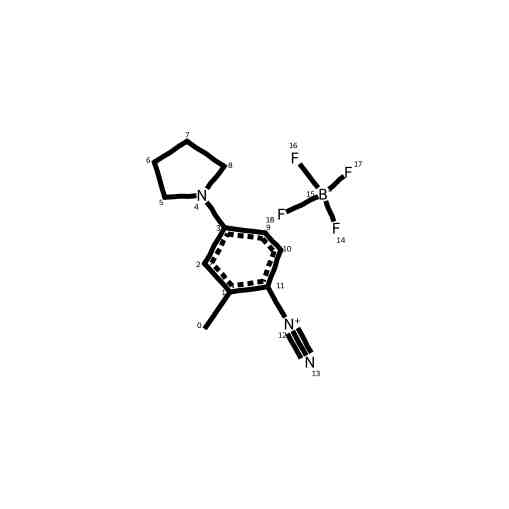 Cc1cc(N2CCCC2)ccc1[N+]#N.F[B-](F)(F)F